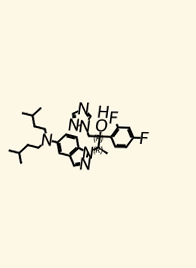 CC(C)CCN(CCC(C)C)c1ccc2c(cnn2[C@H](C)[C@](O)(Cn2cncn2)c2ccc(F)cc2F)c1